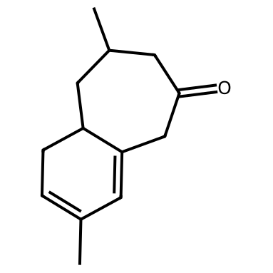 CC1=CCC2CC(C)CC(=O)CC2=C1